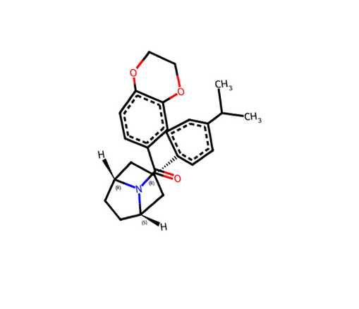 CC(C)c1ccc([C@H]2C[C@H]3CC[C@@H](C2)N3C(=O)c2ccc3c(c2)OCCO3)cc1